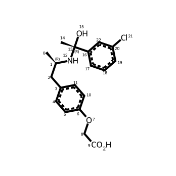 C[C@H](Cc1ccc(OCC(=O)O)cc1)N[C@](C)(O)c1cccc(Cl)c1